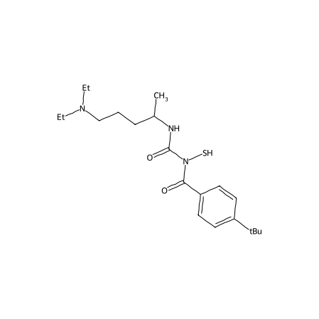 CCN(CC)CCCC(C)NC(=O)N(S)C(=O)c1ccc(C(C)(C)C)cc1